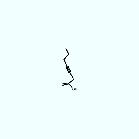 CCCC#CCC(=O)O